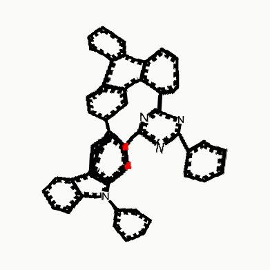 c1ccc(-c2nc(-c3ccccc3)nc(-c3cccc4c5ccccc5c5ccc(-c6ccc7c(c6)c6ccccc6n7-c6ccccc6)cc5c34)n2)cc1